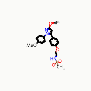 COc1ccc(-n2nc(OC(C)C)cc2-c2ccc(OCCNS(C)(=O)=O)cc2)cc1